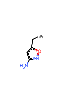 CCCCc1cc(N)no1